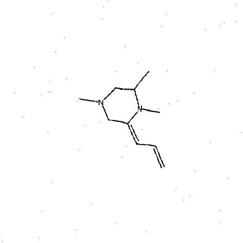 C=C/C=C1/CN(C)CC(C)N1C